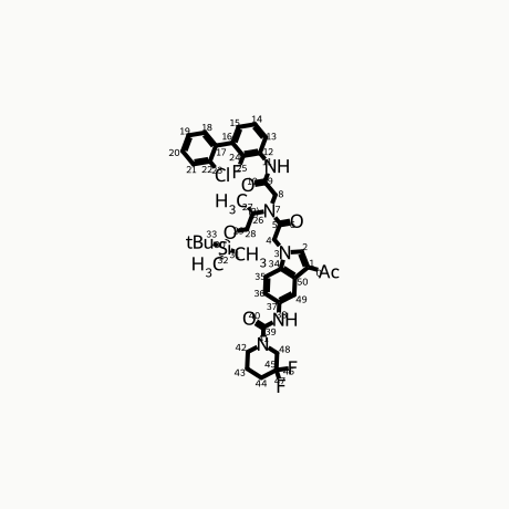 CC(=O)c1cn(CC(=O)N(CC(=O)Nc2cccc(-c3ccccc3Cl)c2F)[C@H](C)CO[Si](C)(C)C(C)(C)C)c2ccc(NC(=O)N3CCCC(F)(F)C3)cc12